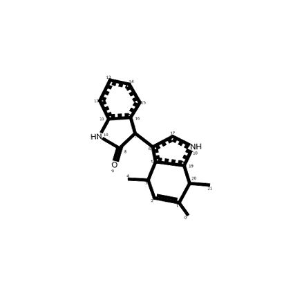 CC1=CC(C)c2c(C3C(=O)Nc4ccccc43)c[nH]c2C1C